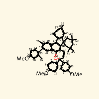 COc1ccc(C2(c3ccc(OC)cc3)C=Cc3c4c(c5cc(C)c(-c6ccc(OC)cc6C)cc5c3O2)-c2ccc(C)cc2C42CC(C)(C)CC(C)(C)C2)cc1